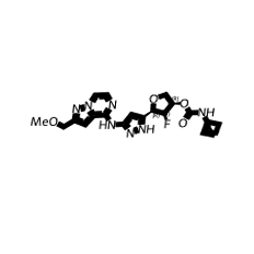 COCc1cc2c(Nc3cc([C@H]4OC[C@@H](OC(=O)NC56CC(C5)C6)[C@H]4F)[nH]n3)nccn2n1